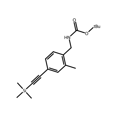 Cc1cc(C#C[Si](C)(C)C)ccc1CNC(=O)OC(C)(C)C